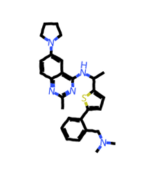 Cc1nc(NC(C)c2ccc(-c3ccccc3CN(C)C)s2)c2cc(N3CCCC3)ccc2n1